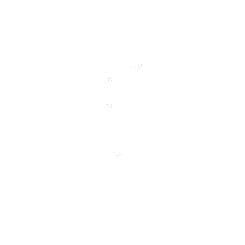 COc1ccc(C(=O)NCc2ccc3[nH]ccc3c2)nc1